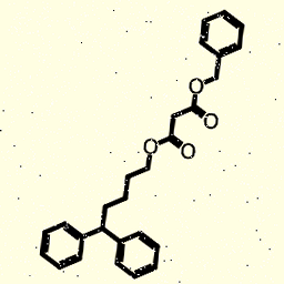 O=C(CC(=O)OCc1ccccc1)OCCCCC(c1ccccc1)c1ccccc1